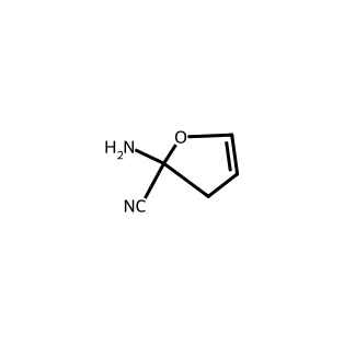 N#CC1(N)CC=CO1